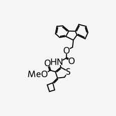 COC(=O)C1=C(NC(=O)OCC2c3ccccc3-c3ccccc32)SCC1=C1CCC1